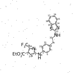 CCOC(=O)c1sc(Nc2ccc(CCNc3nc4ccccc4s3)cc2)nc1C(F)(F)F